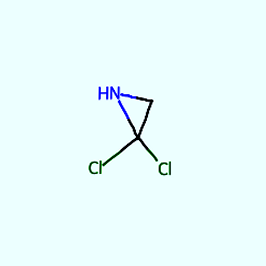 ClC1(Cl)CN1